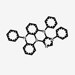 c1ccc(N2c3ccccc3B3c4ncn(-c5ccccc5)c4N(c4ccccc4)c4cccc2c43)cc1